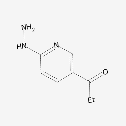 CCC(=O)c1ccc(NN)nc1